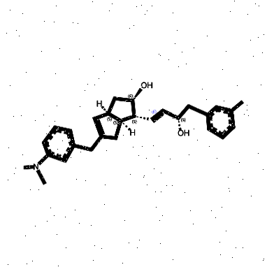 Cc1cccc(C[C@H](O)/C=C/[C@@H]2[C@H]3CC(Cc4cccc(N(C)C)c4)=C[C@H]3C[C@H]2O)c1